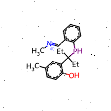 CCC(CC)(Pc1ccccc1/C=N/C)c1cc(C)ccc1O